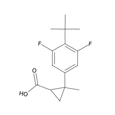 CC(C)(C)c1c(F)cc(C2(C)CC2C(=O)O)cc1F